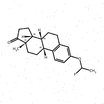 CC(F)Oc1ccc2c(c1)CC[C@H]1[C@H]3CCC(=O)[C@@]3(C)CC[C@@H]21